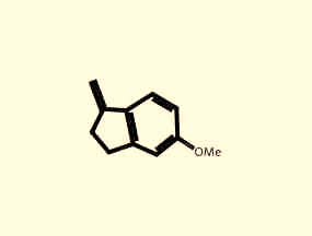 C=C1CCc2cc(OC)ccc21